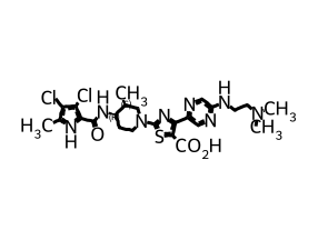 Cc1[nH]c(C(=O)N[C@@H]2CCN(c3nc(-c4cnc(NCCN(C)C)cn4)c(C(=O)O)s3)C[C@@H]2C)c(Cl)c1Cl